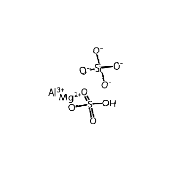 O=S(=O)([O-])O.[Al+3].[Mg+2].[O-][Si]([O-])([O-])[O-]